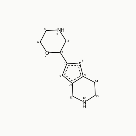 c1c(C2CNCCO2)sc2c1CNCC2